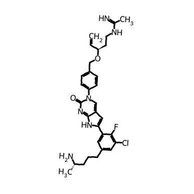 C=C[C@@H](CCNC(C)=N)OCc1ccc(-n2cc3cc(-c4cc(CCC[C@H](C)N)cc(Cl)c4F)[nH]c3nc2=O)cc1